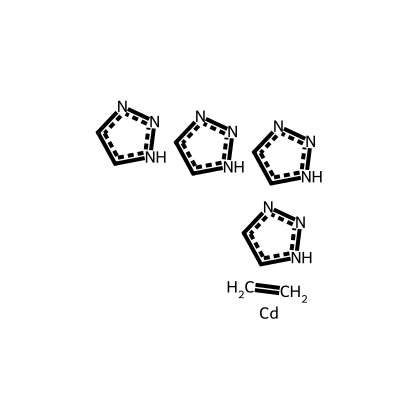 C=C.[Cd].c1c[nH]nn1.c1c[nH]nn1.c1c[nH]nn1.c1c[nH]nn1